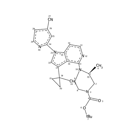 C[C@H]1CN(C(=O)OC(C)(C)C)CCN1c1nccc2c1c(C1(C)CC1)cn2-c1cc(C#N)ccn1